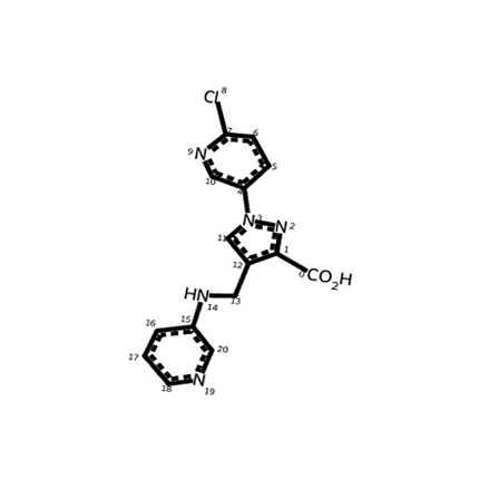 O=C(O)c1nn(-c2ccc(Cl)nc2)cc1CNc1cccnc1